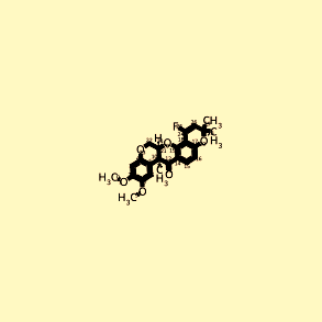 COc1cc2c(cc1OC)[C@]1(C)C(=O)c3ccc4c(c3O[C@@H]1CO2)C(F)=CC(C)(C)O4